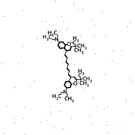 CCN(CC)c1ccc2c(c1)OC(C(C)(C)C)=C\C2=C/C=C/C=C/C=C/c1cc(C(C)(C)C)[o+]c2cc(N(CC)CC)ccc12